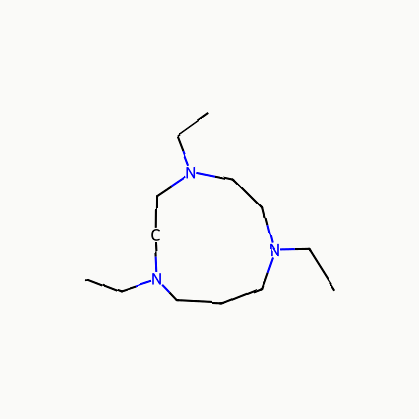 CCN1CCCN(CC)CCN(CC)CC1